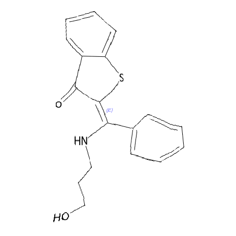 O=C1/C(=C(\NCCCO)c2ccccc2)Sc2ccccc21